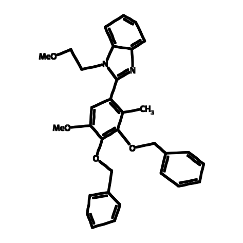 COCCn1c(-c2cc(OC)c(OCc3ccccc3)c(OCc3ccccc3)c2C)nc2ccccc21